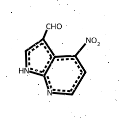 O=Cc1c[nH]c2nccc([N+](=O)[O-])c12